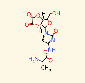 C[C@H](N)C(=O)ONc1ccn([C@@H]2O[C@H](CO)[C@H]3OC(=O)C(=O)O[C@H]32)c(=O)n1